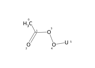 CC(=O)O[O][U]